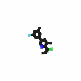 C/C=C(/Cl)c1ncc(-c2cc(C)cc(F)c2)cc1C